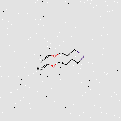 C=COCCCCI.C=COCCCI